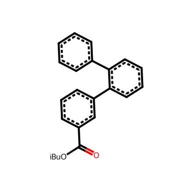 CC(C)COC(=O)c1cccc(-c2ccccc2-c2ccccc2)c1